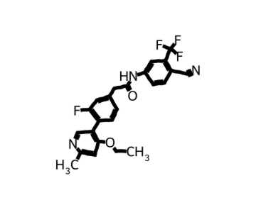 CCOc1cc(C)ncc1-c1ccc(CC(=O)Nc2ccc(C#N)c(C(F)(F)F)c2)cc1F